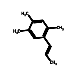 C/C=C/c1cc(C)c(C)cc1C